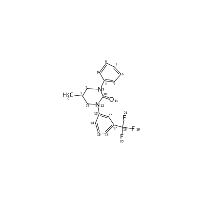 CC1CN(c2ccccc2)C(=O)N(c2cccc(C(F)(F)F)c2)C1